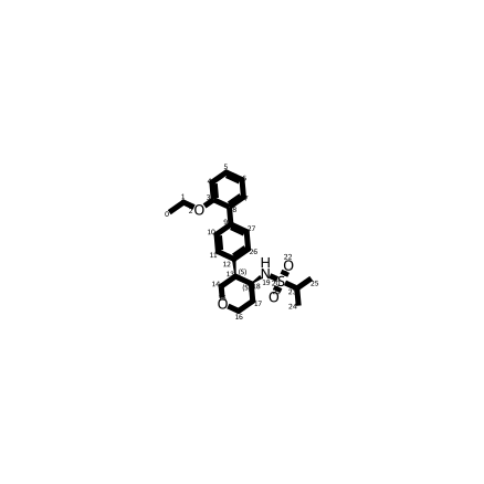 CCOc1ccccc1-c1ccc([C@@H]2COCC[C@@H]2NS(=O)(=O)C(C)C)cc1